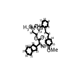 COc1ccc(CCc2ccccc2OC[C@@H](CN(C)C)OC(=O)[C@H](N)C2=Cc3ccccc3C2)cc1